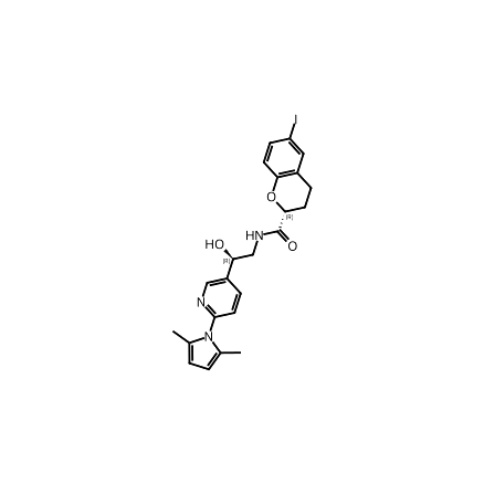 Cc1ccc(C)n1-c1ccc([C@@H](O)CNC(=O)[C@H]2CCc3cc(I)ccc3O2)cn1